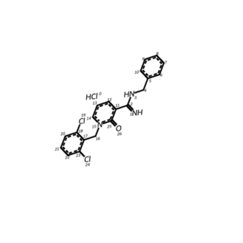 Cl.N=C(NCc1ccccc1)c1cccn(Cc2c(Cl)cccc2Cl)c1=O